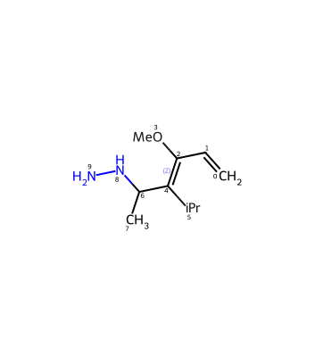 C=C/C(OC)=C(\C(C)C)C(C)NN